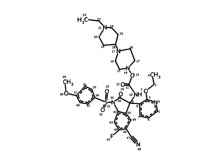 CCOc1ncccc1C1(NC(=O)ON2CCN(C3CCN(CC)CC3)CC2)C(=O)N(S(=O)(=O)c2ccc(OC)cc2)c2cc(F)c(C#N)cc21